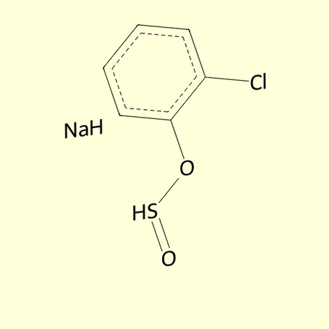 O=[SH]Oc1ccccc1Cl.[NaH]